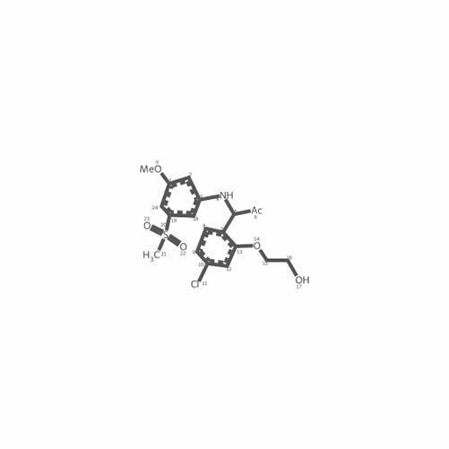 COc1cc(NC(C(C)=O)c2ccc(Cl)cc2OCCO)cc(S(C)(=O)=O)c1